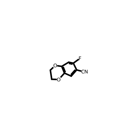 N#Cc1cc2c(cc1F)OCCO2